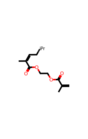 C=C(C)C(=O)OCCOC(=O)C(C)=CCC(C)C